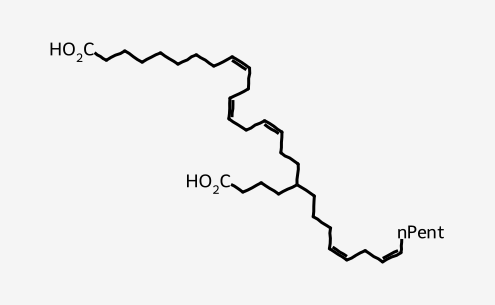 CCCCC/C=C\C/C=C\CCCC(CC/C=C\C/C=C\C/C=C\CCCCCCCC(=O)O)CCCC(=O)O